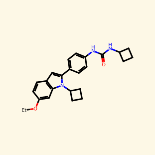 CCOc1ccc2cc(-c3ccc(NC(=O)NC4CCC4)cc3)n(C3CCC3)c2c1